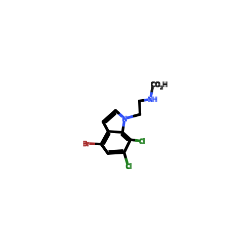 O=C(O)NCCn1ccc2c(Br)cc(Cl)c(Cl)c21